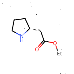 CCOC(=O)C[C@H]1CCCN1